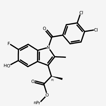 CCCOC(=O)[C@H](C)c1c(C)n(C(=O)c2ccc(Cl)c(Cl)c2)c2cc(F)c(O)cc12